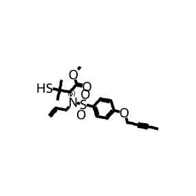 C=CCN([C@@H](C(=O)OC)C(C)(C)S)S(=O)(=O)c1ccc(OCC#CC)cc1